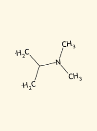 [CH2]C([CH2])N(C)C